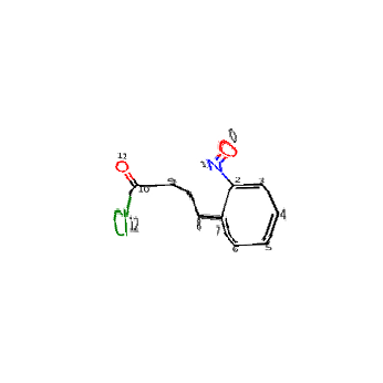 O=Nc1ccccc1CCC(=O)Cl